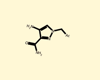 CC(=O)Cn1cc(N)c(C(N)=O)n1